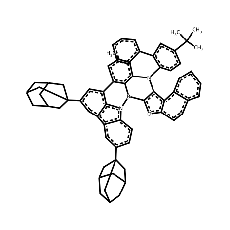 Cc1cc2c3c(c1)N(c1ccc(C(C)(C)C)cc1-c1ccccc1)c1c(oc4ccc5ccccc5c14)B3n1c3ccc(C45CC6CC(CC(C6)C4)C5)cc3c3cc(C45CC6CC(CC(C6)C4)C5)cc-2c31